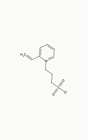 C=Cc1cccc[n+]1CCCS(=O)(=O)[O-]